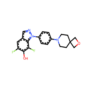 Oc1c(F)cc2cnn(-c3ccc(N4CCC5(CC4)COC5)cc3)c2c1F